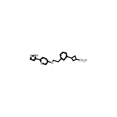 O=C(O)C1CC(c2cccc(CCOc3ccc(-c4ccn[nH]4)nc3)c2)C1